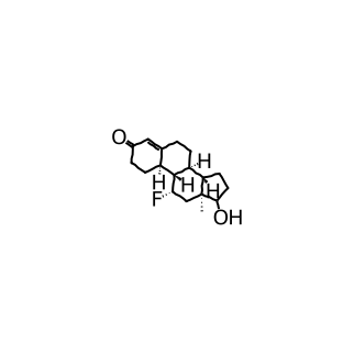 C[C@]12C[C@H](F)[C@H]3[C@@H](CCC4=CC(=O)CC[C@@H]43)[C@@H]1CCC2O